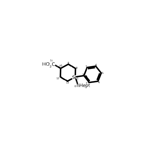 CCCCCCC[Si]1(c2ccccc2)CCC(C(=O)O)CC1